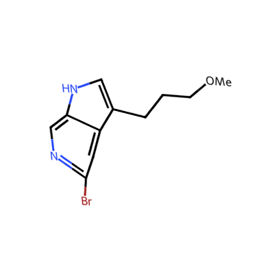 COCCCc1c[nH]c2cnc(Br)cc12